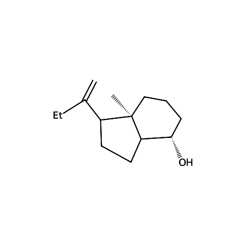 C=C(CC)C1CCC2[C@@H](O)CCC[C@]12C